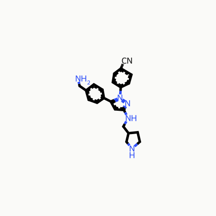 N#Cc1ccc(-n2nc(NCC3CCNC3)cc2-c2ccc(CN)cc2)cc1